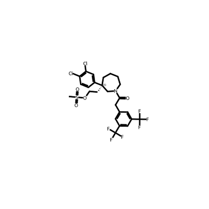 CS(=O)(=O)OCC[C@]1(c2ccc(Cl)c(Cl)c2)CCCCN(C(=O)Cc2cc(C(F)(F)F)cc(C(F)(F)F)c2)C1